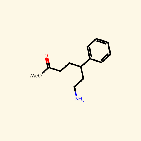 COC(=O)CCC(CCN)c1ccccc1